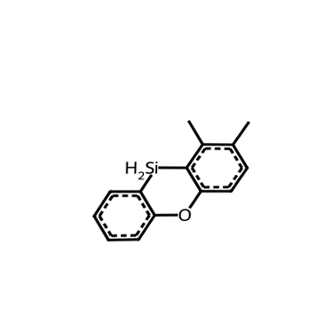 Cc1ccc2c(c1C)[SiH2]c1ccccc1O2